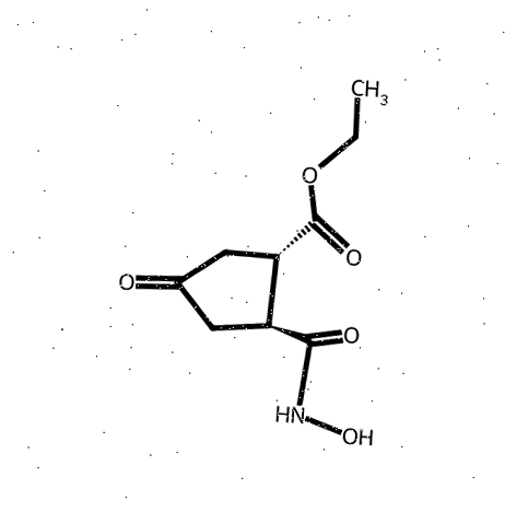 CCOC(=O)[C@H]1CC(=O)C[C@@H]1C(=O)NO